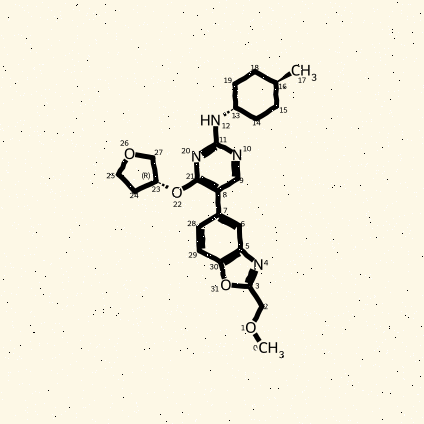 COCc1nc2cc(-c3cnc(N[C@H]4CC[C@H](C)CC4)nc3O[C@@H]3CCOC3)ccc2o1